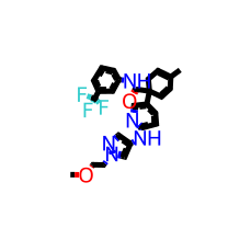 COCCn1cc(Nc2ccc(C3(C(=O)Nc4cccc(C(F)(F)F)c4)C=CC(C)=CC3)cn2)cn1